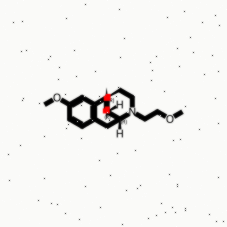 COCCN1CC[C@]23CCCC[C@H]2[C@H]1Cc1ccc(OC)cc13